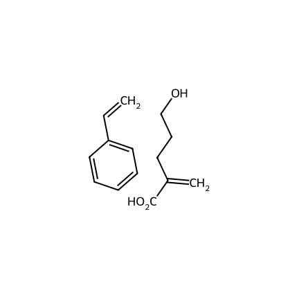 C=C(CCCO)C(=O)O.C=Cc1ccccc1